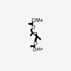 COC(C)OCC(C)OC(C)COC(C)OC